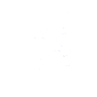 CN1Cc2c(nn(-c3ccc(Cl)cc3Cl)c2-c2ccc(Cl)cc2)C(NN2CCS(=O)(=O)CC2)=CS1(=O)=O